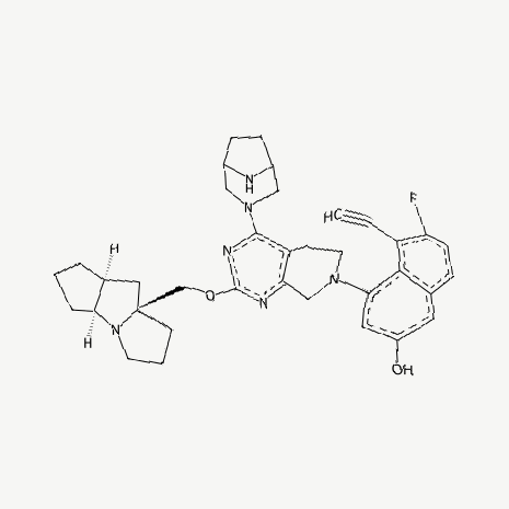 C#Cc1c(F)ccc2cc(O)cc(N3CCc4c(nc(OC[C@@]56CCCN5[C@H]5CCC[C@H]5C6)nc4N4CC5CCC(C4)N5)C3)c12